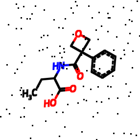 CCC(NC(=O)C1(c2ccccc2)COC1)C(=O)O